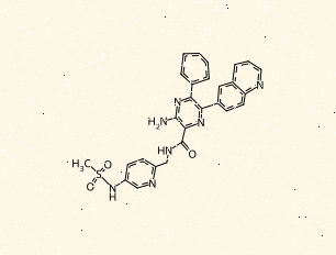 CS(=O)(=O)Nc1ccc(CNC(=O)c2nc(-c3ccc4ncccc4c3)c(-c3ccccc3)nc2N)nc1